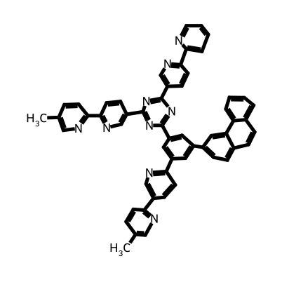 Cc1ccc(-c2ccc(-c3cc(-c4ccc5ccc6ccccc6c5c4)cc(-c4nc(-c5ccc(-c6ccccn6)nc5)nc(-c5ccc(-c6ccc(C)cn6)nc5)n4)c3)nc2)nc1